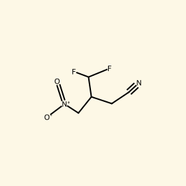 N#CCC(C[N+](=O)[O-])C(F)F